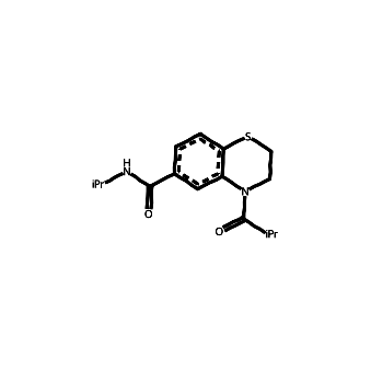 CC(C)NC(=O)c1ccc2c(c1)N(C(=O)C(C)C)CCS2